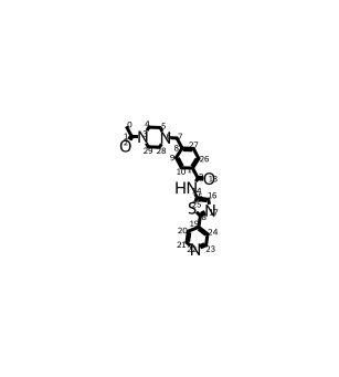 CC(=O)N1CCN(Cc2ccc(C(=O)Nc3cnc(-c4ccncc4)s3)cc2)CC1